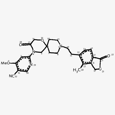 COc1cc(N2CC3(CCN(CCc4ccc5c(c4C)COC5=O)CC3)OCC2=O)ncc1C#N